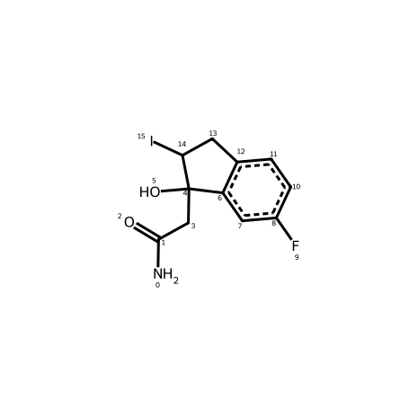 NC(=O)CC1(O)c2cc(F)ccc2CC1I